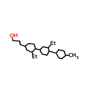 CCC1CC(CCCO)CCC1C1CCC(C2CCC(C)CC2)C(CC)C1